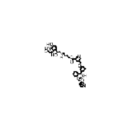 O=C(NC(c1ccccc1)c1cccc(OCc2cncc(C(=O)OCCCCNC[C@H](O)c3ccc(O)c4[nH]c(=O)ccc34)c2)c1)O[C@H]1CN2CCC1CC2